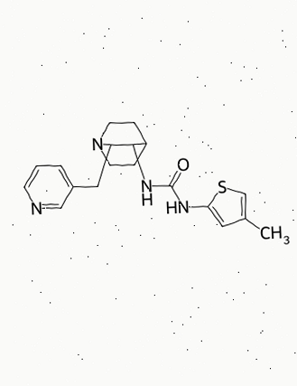 Cc1csc(NC(=O)NC2C3CCN(CC3)C2Cc2cccnc2)c1